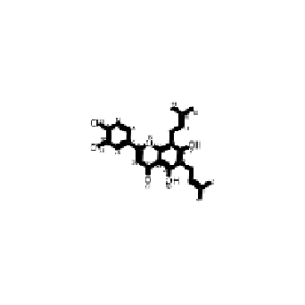 CC(C)=CCc1c(O)c(CC=C(C)C)c2oc(-c3ccc(Cl)c(Cl)c3)cc(=O)c2c1O